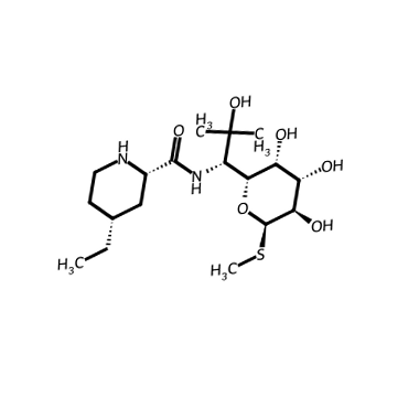 CC[C@@H]1CCN[C@H](C(=O)N[C@@H]([C@H]2O[C@H](SC)[C@H](O)[C@@H](O)[C@H]2O)C(C)(C)O)C1